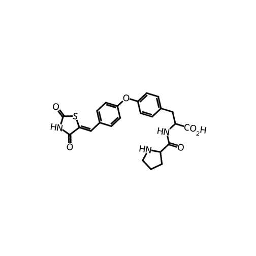 O=C1NC(=O)C(=Cc2ccc(Oc3ccc(CC(NC(=O)C4CCCN4)C(=O)O)cc3)cc2)S1